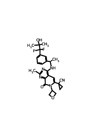 Cc1nc(N[C@H](C)c2cccc(C(F)(F)C(C)(C)O)c2)c2cc(C3(C#N)CC3)n(C3COC3)c(=O)c2n1